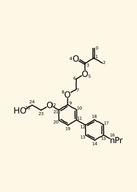 C=C(C)C(=O)OCCOc1cc(-c2ccc(CCC)cc2)ccc1OCCO